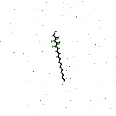 FCCCCCCCCCCCCCC(F)C(F)C(F)C(F)CI